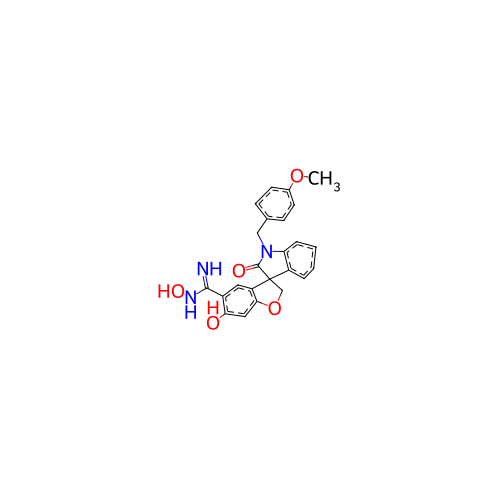 COc1ccc(CN2C(=O)C3(COc4cc(O)c(C(=N)NO)cc43)c3ccccc32)cc1